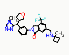 Cn1cnnc1[C@H](c1cccc(N2Cc3c(cc(CNC4(C)CCC4)cc3C(F)(F)F)C2=O)c1)[C@H]1CCOC1